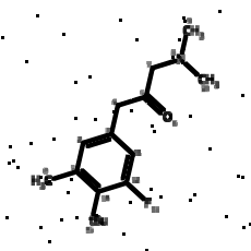 Cc1cc(CC(=O)CN(C)C)cc(F)c1C(C)(C)C